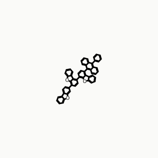 c1ccc(-c2c3ccccc3c(-c3ccc(-c4ccc(-c5ccc6c(c5)oc5ccccc56)c5oc6ccccc6c45)c4oc5ccccc5c34)c3ccccc23)cc1